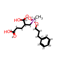 CP(=O)(CC(CCC(=O)O)C(=O)O)OCCCc1ccccc1